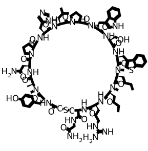 CCCC[C@H]1C(=O)N(C)[C@@H](CCCC)C(=O)N[C@@H](CCCNC(=N)N)C(=O)NC(C(=O)NCC(N)=O)CSCC(=O)N[C@@H](Cc2ccc(O)cc2)C(=O)N(C)[C@@H](C)C(=O)N[C@@H](CC(N)=O)C(=O)N2CCC[C@H]2C(=O)N[C@@H](Cc2cnc[nH]2)C(=O)N[C@@H](CC(C)C)C(=O)N2CCC[C@H]2C(=O)N[C@@H](Cc2c[nH]c3ccccc23)C(=O)N[C@@H](CO)C(=O)N[C@@H](Cc2csc3ccccc23)C(=O)N1C